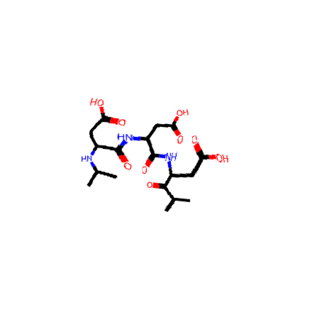 CC(C)NC(CC(=O)O)C(=O)NC(CC(=O)O)C(=O)NC(CC(=O)O)C(=O)C(C)C